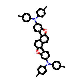 Cc1ccc(N(c2ccc(C)cc2)c2ccc3c(c2)oc2ccc4c(ccc5oc6cc(N(c7ccc(C)cc7)c7ccc(C)cc7)ccc6c54)c23)cc1